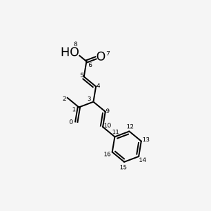 C=C(C)C(C=CC(=O)O)C=Cc1ccccc1